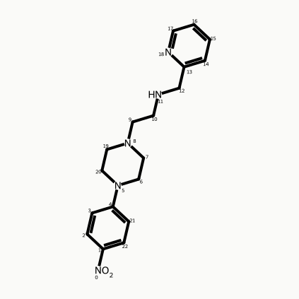 O=[N+]([O-])c1ccc(N2CCN(CCNCc3ccccn3)CC2)cc1